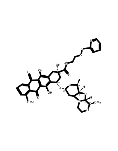 COc1cccc2c1C(=O)c1c(O)c3c(c(O)c1C2=O)C[C@@](O)(C(=O)NCCSSc1ccccn1)C[C@@H]3O[C@H]1CC2[C@H](O[C@@H]3[C@@H](OC)OCCN23)[C@H](C)O1